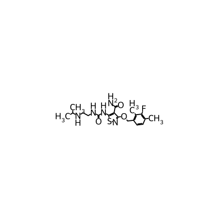 Cc1ccc(COc2nsc(NC(=O)NCCNC(C)C)c2C(N)=O)c(C)c1F